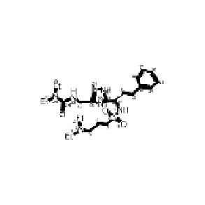 CCN(CC)CCCS(=O)(=O)N[C@H](CCc1ccccc1)c1nc(CNC(=O)N(CC)CC)n[nH]1